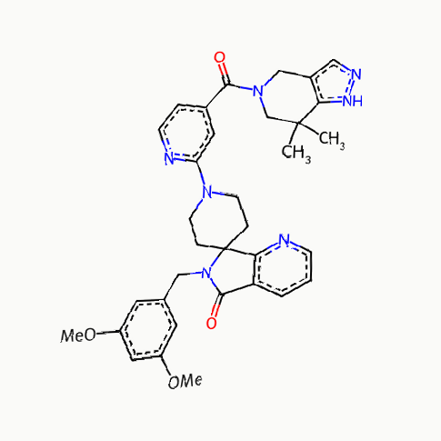 COc1cc(CN2C(=O)c3cccnc3C23CCN(c2cc(C(=O)N4Cc5cn[nH]c5C(C)(C)C4)ccn2)CC3)cc(OC)c1